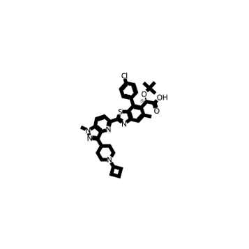 Cc1cc2nc(-c3ccc4c(n3)c(C3CCN(C5CCC5)CC3)nn4C)sc2c(-c2ccc(Cl)cc2)c1[C@H](OC(C)(C)C)C(=O)O